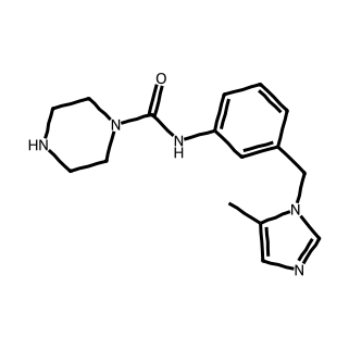 Cc1cncn1Cc1cccc(NC(=O)N2CCNCC2)c1